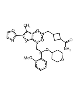 COc1ccccc1[C@@H](Cn1on(CC2CC(C(N)=O)C2)oc2c(C)c(-c3ncco3)sc21)OC1CCOCC1